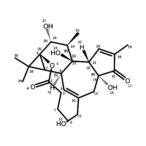 CCCC(=O)O[C@]12C([C@@H]3C=C(CO)C[C@]4(O)C(=O)C(C)=C[C@H]4[C@@]3(O)[C@H](C)[C@H]1O)C2(C)C